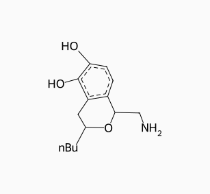 CCCCC1Cc2c(ccc(O)c2O)C(CN)O1